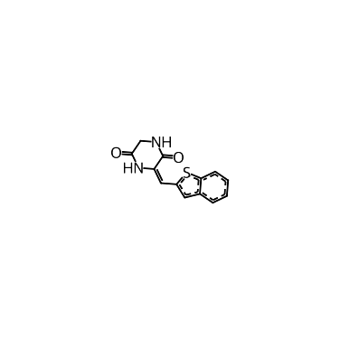 O=C1CNC(=O)/C(=C\c2cc3ccccc3s2)N1